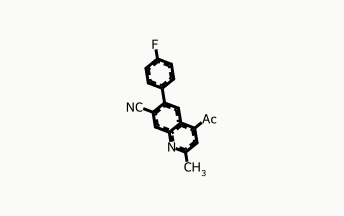 CC(=O)c1cc(C)nc2cc(C#N)c(-c3ccc(F)cc3)cc12